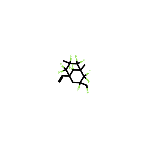 C=CC12CC(F)(CF)C(F)(F)C(C)(C(F)(F)C(C)(F)C1(F)F)C2(F)F